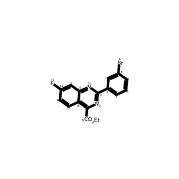 CCOC(=O)c1nc(-c2cccc(Br)c2)nc2cc(F)ccc12